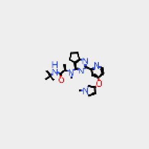 CC(C(=O)NC(C)(C)C)N(C)c1nc(-c2cc(OC3CCN(C)C3)ccn2)nc2c1CCC2